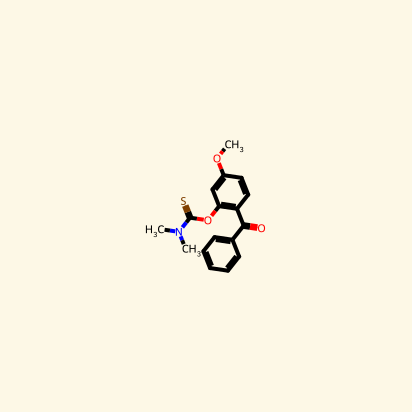 COc1ccc(C(=O)c2ccccc2)c(OC(=S)N(C)C)c1